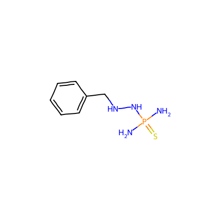 NP(N)(=S)NNCc1ccccc1